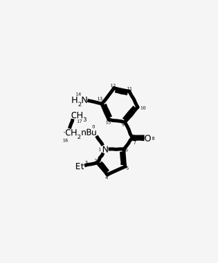 CCCCn1c(CC)ccc1C(=O)c1cccc(N)c1.[CH2]C